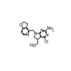 Nc1nc(Cl)c2c(n1)N(Cc1nccc3c1CCO3)CC2CO